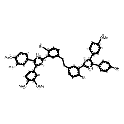 CCc1ccc(CCc2ccc(CC)c(-c3nc(-c4ccc(OC)c(OC)c4)c(-c4ccc(OC)c(OC)c4)[nH]3)c2)cc1-c1nc(-c2ccc(OC)cc2)c(-c2ccc(O)cc2)[nH]1